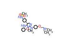 CCN(CC)CCOc1ccc(Nc2ncc(-c3ccc(NS(C)(=O)=O)cc3)c(Nc3ccccc3OC)n2)cc1